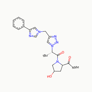 CNC(=O)C1CC(O)CN1C(=O)[C@@H](n1cc(Cn2cnc(-c3ccccc3)c2)nn1)C(C)(C)C